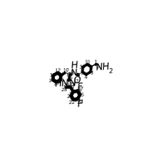 NC[C@H]1CC[C@H](C(=O)N[C@@H](Cc2ccccc2)c2nc(-c3ccc(F)cc3F)c[nH]2)CC1